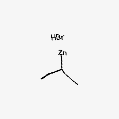 Br.C[CH](C)[Zn]